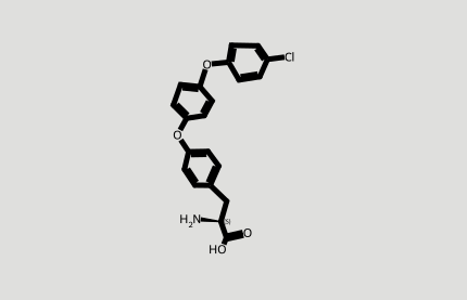 N[C@@H](Cc1ccc(Oc2ccc(Oc3ccc(Cl)cc3)cc2)cc1)C(=O)O